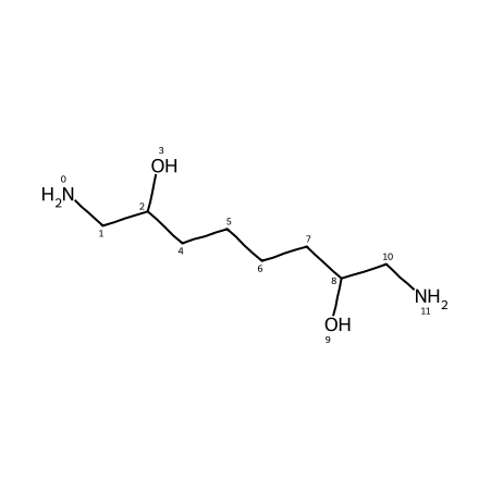 NCC(O)CCCCC(O)CN